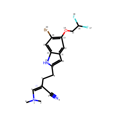 CN(C)/C=C(\C#N)CCc1cc2cc(OCC(F)F)c(Br)cc2[nH]1